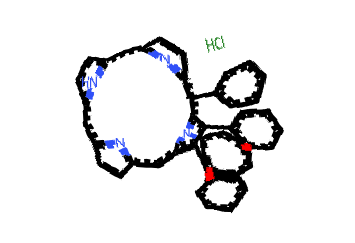 C1=Cc2cc3c(-c4ccccc4)c(-c4ccccc4)c(c(-c4ccccc4)c4nc(cc5ccc(cc1n2)[nH]5)C=C4)n3-c1ccccc1.Cl